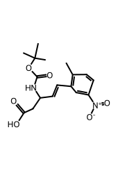 Cc1ccc([N+](=O)[O-])cc1C=CC(CC(=O)O)NC(=O)OC(C)(C)C